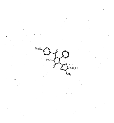 CCOC(=O)c1sc(N2C(=O)C(O)=C(C(=O)c3ccc(OC)cc3)C2c2ccccc2)nc1C